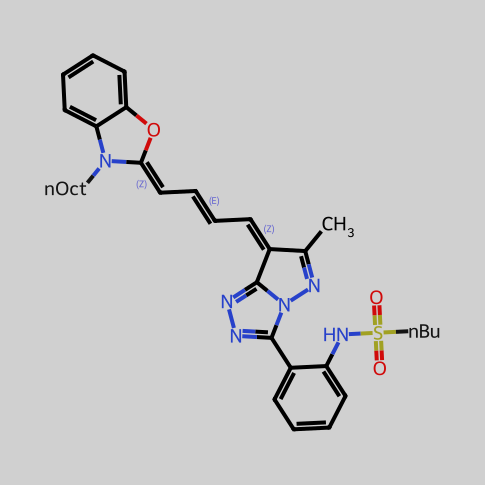 CCCCCCCCN1/C(=C/C=C/C=c2/c(C)nn3c(-c4ccccc4NS(=O)(=O)CCCC)nnc23)Oc2ccccc21